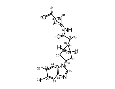 CC(=O)C12CC(NC(=O)C(C)[C@H]3[C@@H]4C[C@H](n5cnc6cc(F)c(F)cc65)C[C@@H]43)(C1)C2